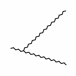 [CH2]CCCCC(CCCCCCCCCCCCCCCCC)CCCCCCCCCCCCCCCCCCCCCC